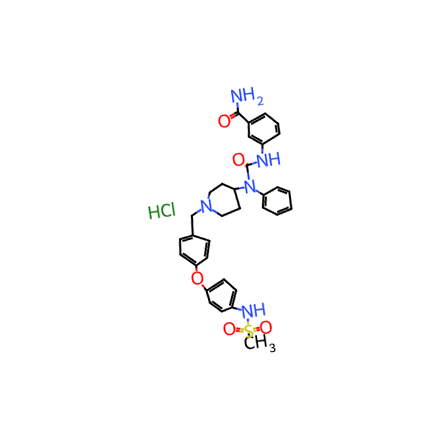 CS(=O)(=O)Nc1ccc(Oc2ccc(CN3CCC(N(C(=O)Nc4cccc(C(N)=O)c4)c4ccccc4)CC3)cc2)cc1.Cl